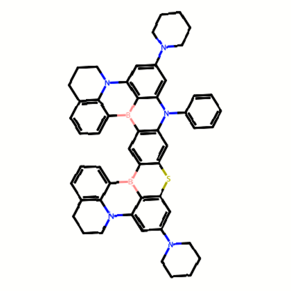 c1ccc(N2c3cc4c(cc3B3c5cccc6c5N(CCC6)c5cc(N6CCCCC6)cc2c53)B2c3cccc5c3N(CCC5)c3cc(N5CCCCC5)cc(c32)S4)cc1